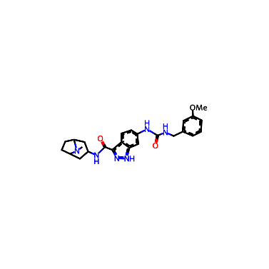 COc1cccc(CNC(=O)Nc2ccc3c(C(=O)NC4CC5CCC(C4)N5C)n[nH]c3c2)c1